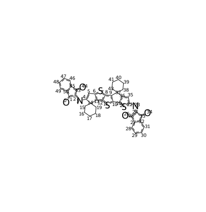 O=c1c(=NC2=Cc3sc4c5c(sc4c3C23CCCCC3)-c2sc(N=c3c(=O)c4ccccc4c3=O)cc2C52CCCCC2)c(=O)c2ccccc12